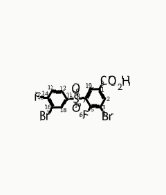 O=C(O)c1cc(Br)c(F)c(S(=O)(=O)c2ccc(F)c(Br)c2)c1